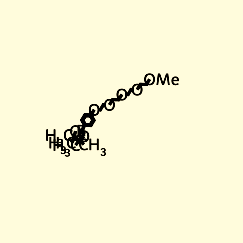 COCCOCCOCCOCCOc1ccc(B2OC(C)(C)C(C)(C)O2)cc1